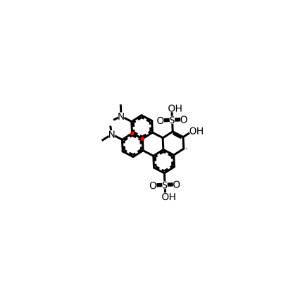 CN(C)c1ccc(-c2cc(S(=O)(=O)O)cc3c2C(c2ccc(N(C)C)cc2)C(S(=O)(=O)O)=C(O)[CH]3)cc1